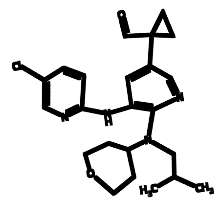 CC(C)CN(c1ncc(C2(C=O)CC2)cc1Nc1ccc(Cl)cn1)C1CCOCC1